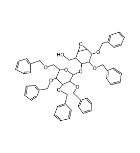 OCC1C(OC2OC(COCc3ccccc3)C(OCc3ccccc3)C(OCc3ccccc3)C2OCc2ccccc2)C(OCc2ccccc2)C(OCc2ccccc2)C2OC12